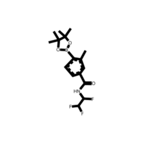 Cc1cc(C(=O)NC(F)C(F)F)ccc1B1OC(C)(C)C(C)(C)O1